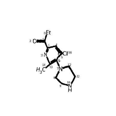 CCC(=O)c1ccc(N2CCNCC2)c(C)n1.Cl